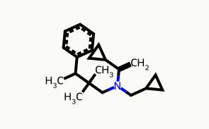 C=C(C1CC1)N(CC1CC1)CC(C)(C)C(C)c1ccccc1